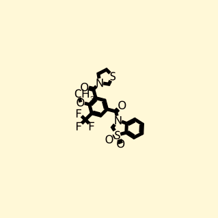 COc1c(C(=O)N2CCSC2)cc(C(=O)N2CS(=O)(=O)c3ccccc32)cc1C(F)(F)F